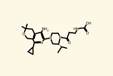 CC(C)[C@@H]1CN(c2nc(C3CC3)c3c(c2N)CC(C)(C)OC3)CCN1C(=O)CCNC(=O)O